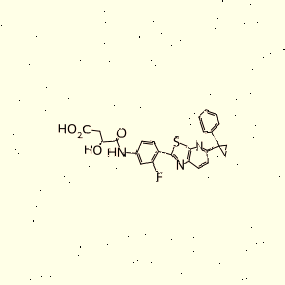 O=C(O)C[C@H](O)C(=O)Nc1ccc(-c2nc3ccc(C4(c5ccccc5)CC4)nc3s2)c(F)c1